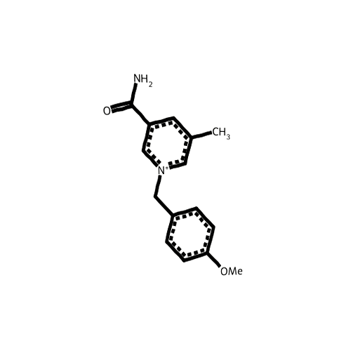 COc1ccc(C[n+]2cc(C)cc(C(N)=O)c2)cc1